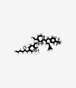 CCCCC(=O)CC1=CNC(C)=C(CNC2=C(CC)CC=NC(C(CCC3CC3)Cc3ccc(C(F)(F)F)cc3)=C2F)C=C1